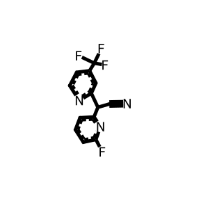 N#CC(c1cc(C(F)(F)F)ccn1)c1cccc(F)n1